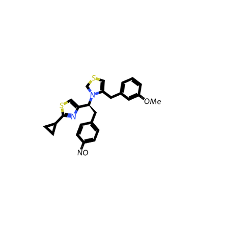 COc1cccc(CC2=CSCN2[C@@H](Cc2ccc(N=O)cc2)c2csc(C3CC3)n2)c1